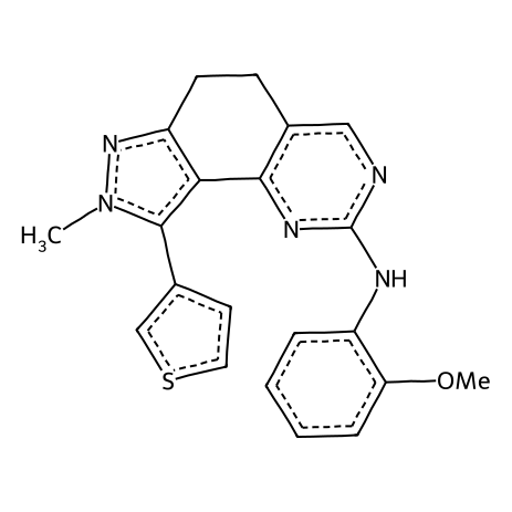 COc1ccccc1Nc1ncc2c(n1)-c1c(nn(C)c1-c1ccsc1)CC2